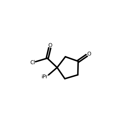 CC(C)C1(C(=O)Cl)CCC(=O)C1